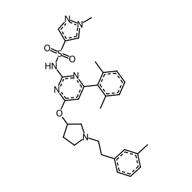 Cc1cccc(CCN2CCC(Oc3cc(-c4c(C)cccc4C)nc(NS(=O)(=O)c4cnn(C)c4)n3)C2)c1